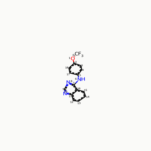 FC(F)(F)Oc1ccc(Nc2ncnc3ccccc23)cc1